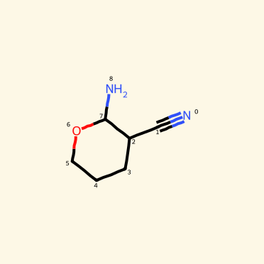 N#CC1CCCOC1N